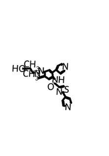 CC(C)(O)CCn1cc2cc(NC(=O)c3csc(-c4ccncc4)n3)c(-c3ccncc3)cc2n1